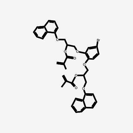 C=C(C)C(=O)OC(COc1ccc(Br)cc1OCC(COc1cccc2ccccc12)OC(=O)C(=C)C)COc1cccc2ccccc12